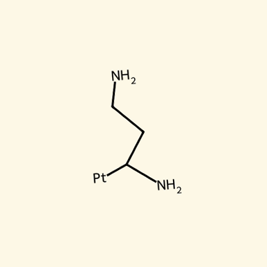 NCC[CH](N)[Pt]